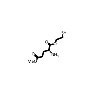 COC(=O)CC[C@H](N)C(=O)OCCS